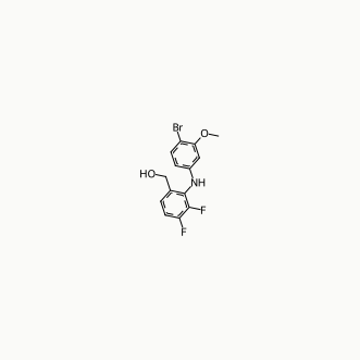 COc1cc(Nc2c(CO)ccc(F)c2F)ccc1Br